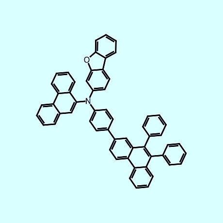 c1ccc(-c2c(-c3ccccc3)c3cc(-c4ccc(N(c5ccc6c(c5)oc5ccccc56)c5cc6ccccc6c6ccccc56)cc4)ccc3c3ccccc23)cc1